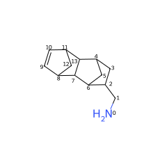 NCC1CC2CC1C1C3C=CC(C3)C21